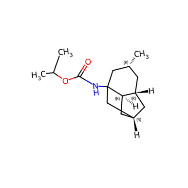 CC(C)OC(=O)NC12C[C@H](C)C[C@@H]3C[C@H](C[C@H]31)C2